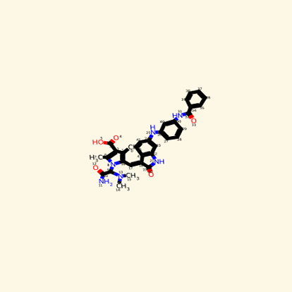 Cc1c(C(=O)O)c(C)n(C(C(N)=O)N(C)C)c1C=C1C(=O)Nc2cc(Nc3cccc(NC(=O)c4ccccc4)c3)ccc21